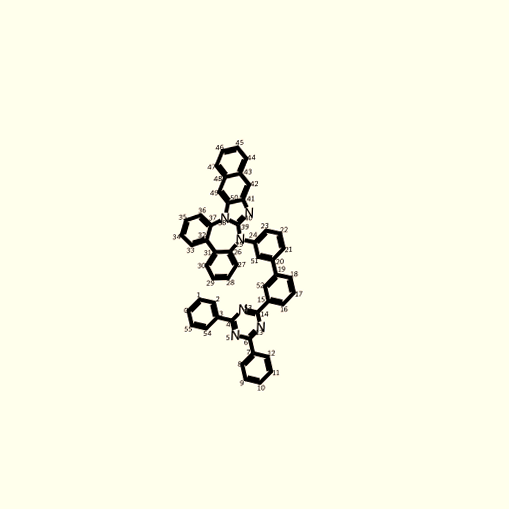 c1ccc(-c2nc(-c3ccccc3)nc(-c3cccc(-c4cccc(N5c6ccccc6-c6ccccc6-n6c5nc5cc7ccccc7cc56)c4)c3)n2)cc1